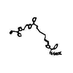 C=CC(=O)OCCOC(=O)CCCCCOC(=O)CCCCCC